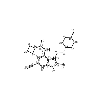 C[C@@H](Nc1nc(C#N)nc2nc(Br)n(CC[C@H]3CC[C@H](C)CC3)c12)C1CCC1